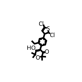 CCc1cc(C2C=C(Cl)SC2Cl)ccc1C1=C(O)C(C)(C)OC(C)(C)C1=O